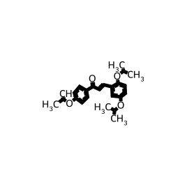 C=C(C)Oc1ccc(C(=O)C=Cc2cc(OC(C)C)ccc2OC(C)C)cc1